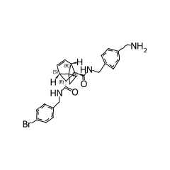 NCc1ccc(CNC(=O)[C@H]2[C@H](C(=O)NCc3ccc(Br)cc3)[C@@H]3C=C[C@H]2C32CC2)cc1